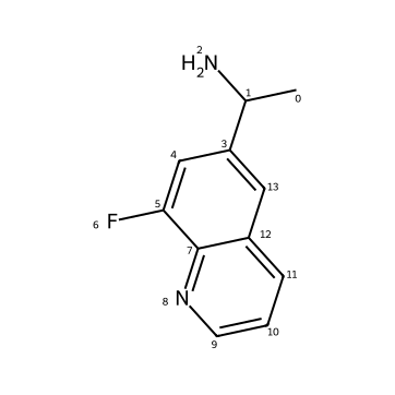 CC(N)c1cc(F)c2ncccc2c1